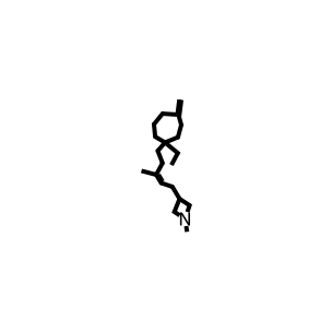 C=C1CCCC(CC)(CC/C(C)=C\CC2CN(C)C2)CC1